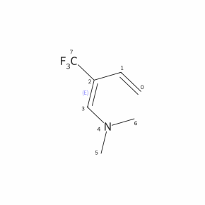 C=C/C(=C\N(C)C)C(F)(F)F